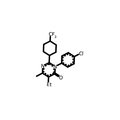 CCc1c(C)nc(C2CCC(C(F)(F)F)CC2)n(-c2ccc(Cl)cc2)c1=O